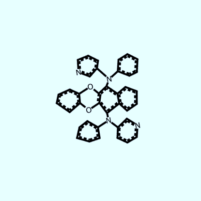 c1ccc(N(c2cccnc2)c2c3c(c(N(c4ccccc4)c4cccnc4)c4ccccc24)Oc2ccccc2O3)cc1